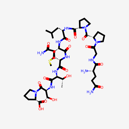 CSCC[C@H](NC(=O)[C@H](CC(C)C)NC(=O)[C@@H]1CCCN1C(=O)[C@@H]1CCCN1C(=O)CNC(=O)[C@@H](N)CCC(N)=O)C(=O)N[C@@H](CCC(N)=O)C(=O)N[C@H](C(=O)N[C@H](C(=O)N1CCC[C@H]1C(=O)O)[C@@H](C)O)[C@@H](C)O